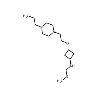 CCCN1CCN(CCO[C@H]2C[C@H](NCSC)C2)CC1